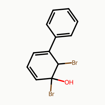 OC1(Br)C=CC=C(c2ccccc2)C1Br